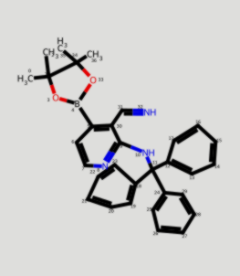 CC1(C)OB(c2ccnc(NC(c3ccccc3)(c3ccccc3)c3ccccc3)c2C=N)OC1(C)C